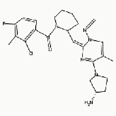 C=NN1C=C(C)C(N2CC[C@H](N)C2)=N/C1=C/C1CCCCN1C(=O)c1ccc(F)c(C)c1Cl